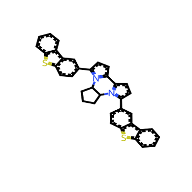 c1ccc2c(c1)sc1ccc(-c3ccc4n3C3CCCC3n3c(-c5ccc6sc7ccccc7c6c5)ccc3-4)cc12